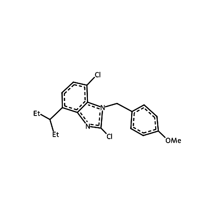 CCC(CC)c1ccc(Cl)c2c1nc(Cl)n2Cc1ccc(OC)cc1